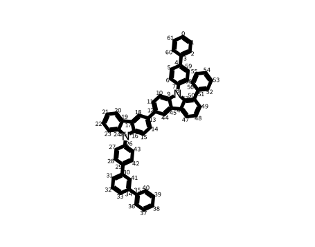 c1ccc(-c2ccc(-n3c4ccc(-c5ccc6c(c5)c5ccccc5n6-c5ccc(-c6cccc(-c7ccccc7)c6)cc5)cc4c4cccc(-c5ccccc5)c43)cc2)cc1